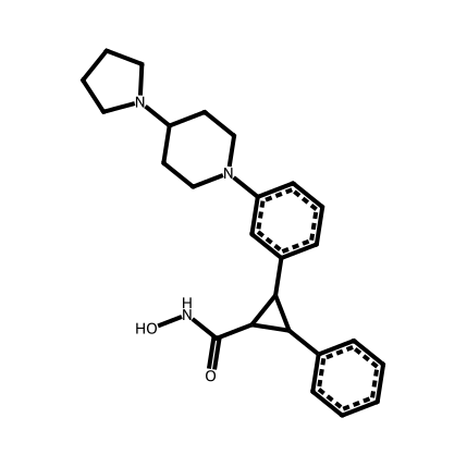 O=C(NO)C1C(c2ccccc2)C1c1cccc(N2CCC(N3CCCC3)CC2)c1